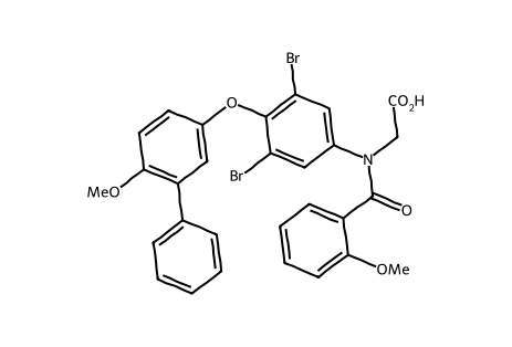 COc1ccccc1C(=O)N(CC(=O)O)c1cc(Br)c(Oc2ccc(OC)c(-c3ccccc3)c2)c(Br)c1